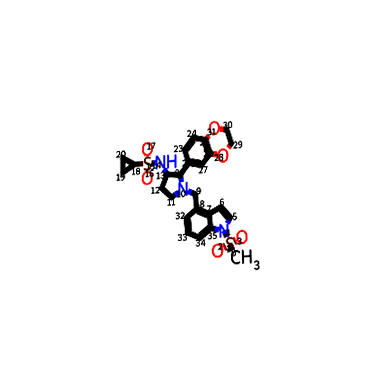 CS(=O)(=O)n1ccc2c(CN3CCC(NS(=O)(=O)C4CC4)C3c3ccc4c(c3)OCCO4)cccc21